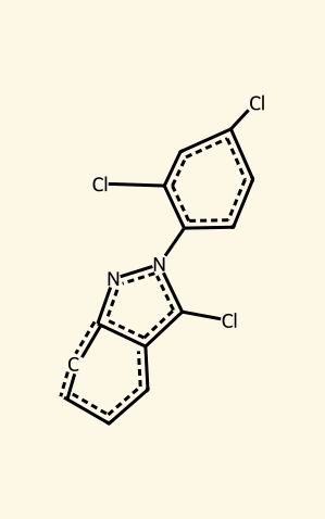 Clc1ccc(-n2nc3ccccc3c2Cl)c(Cl)c1